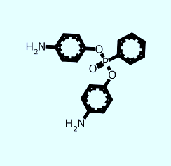 Nc1ccc(OP(=O)(Oc2ccc(N)cc2)c2ccccc2)cc1